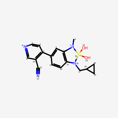 CN1c2cc(-c3ccncc3C#N)ccc2N(CC2CC2)S1(O)O